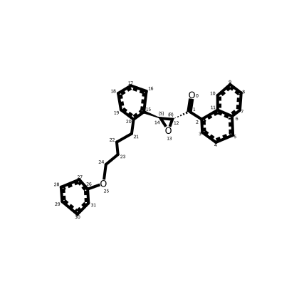 O=C(c1cccc2ccccc12)[C@@H]1O[C@H]1c1ccccc1CCCCOc1ccccc1